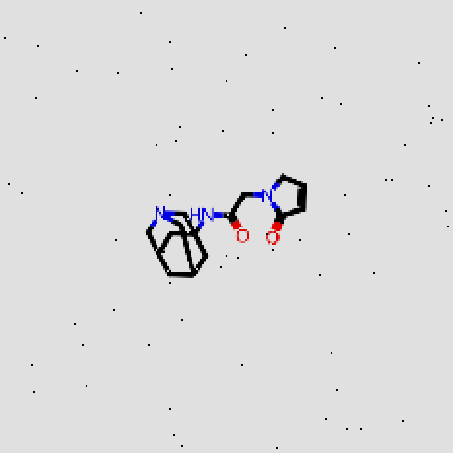 O=C(CN1CC=CC1=O)NC12CC3CC(CN(C3)C1)C2